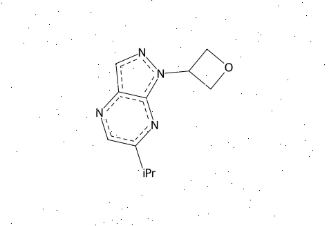 CC(C)c1cnc2cnn(C3COC3)c2n1